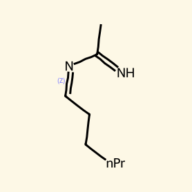 CCCCC/C=N\C(C)=N